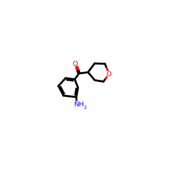 Nc1cccc(C(=O)C2CCOCC2)c1